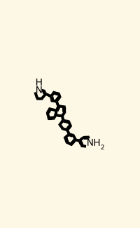 C/C=C(\C=C/N)c1cccc(C2=CC=C(C3C=CC(c4cccc(C5=CNCCC5)c4)=C4C=CC=CC43)CC2)c1